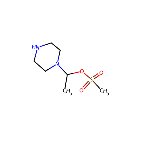 CC(OS(C)(=O)=O)N1CCNCC1